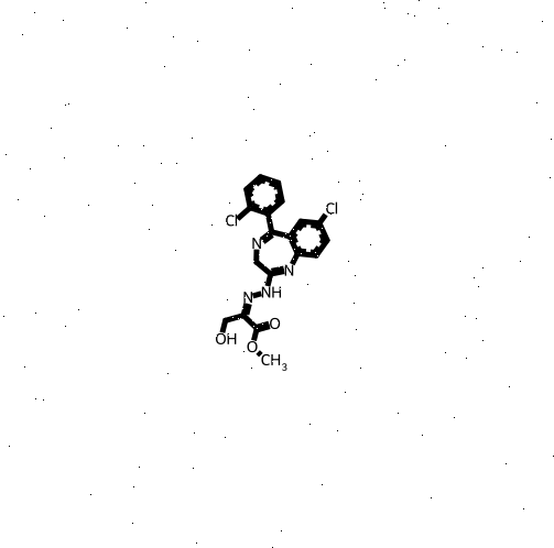 COC(=O)/C(CO)=N\NC1=Nc2ccc(Cl)cc2C(c2ccccc2Cl)=NC1